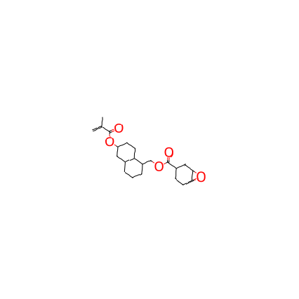 C=C(C)C(=O)OC1CCC2C(COC(=O)C3CCC4OC4C3)CCCC2C1